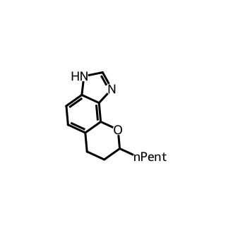 CCCCCC1CCc2ccc3[nH]cnc3c2O1